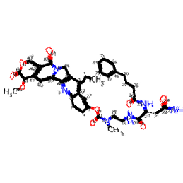 CCc1c2c(nc3ccc(OC(=O)N(C)CCNC(=O)[C@@H](CC(N)=O)NC(=O)CCCc4ccccc4)cc13)-c1cc3c(c(=O)n1C2)COC(=O)C3OC